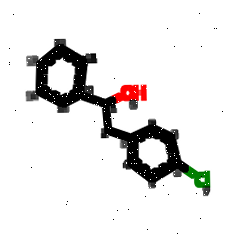 OC(Cc1ccc(Cl)cc1)c1[c]cccc1